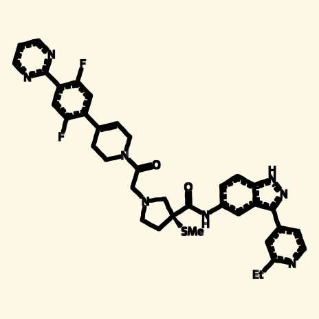 CCc1cc(-c2n[nH]c3ccc(NC(=O)[C@]4(SC)CCN(CC(=O)N5CC=C(c6cc(F)c(-c7ncccn7)cc6F)CC5)C4)cc23)ccn1